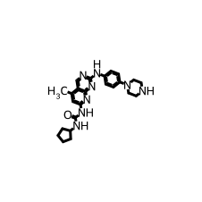 Cc1cc(NC(=O)NC2CCCC2)nc2nc(Nc3ccc(N4CCNCC4)cc3)ncc12